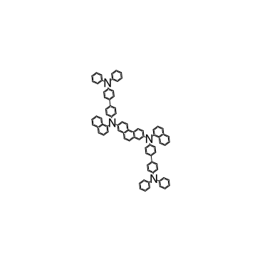 c1ccc(N(c2ccccc2)c2ccc(-c3ccc(N(c4ccc5c(ccc6cc(N(c7ccc(-c8ccc(N(c9ccccc9)c9ccccc9)cc8)cc7)c7cccc8ccccc78)ccc65)c4)c4cccc5ccccc45)cc3)cc2)cc1